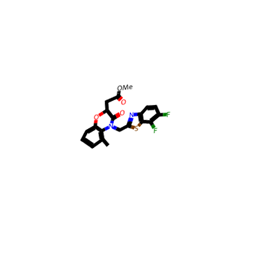 COC(=O)CC1Oc2cccc(C)c2N(Cc2nc3ccc(F)c(F)c3s2)C1=O